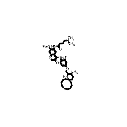 CCOc1cc2ncc(C#N)c(Nc3ccc(OCC4NC5(CCCCCCCCC5)CCC4C)cc3F)c2cc1NC(=O)CCCN(C)C